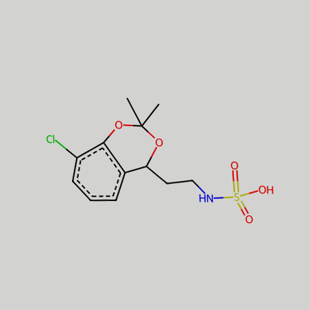 CC1(C)Oc2c(Cl)cccc2C(CCNS(=O)(=O)O)O1